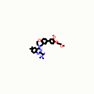 COCCOc1ccc(-c2ccc3c(c2)CN(c2nc(C(I)N(C)C)nc4c2CC(C)(C)CC4)CCO3)cc1OC